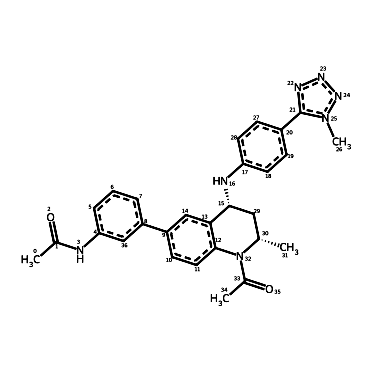 CC(=O)Nc1cccc(-c2ccc3c(c2)[C@H](Nc2ccc(-c4nnnn4C)cc2)C[C@H](C)N3C(C)=O)c1